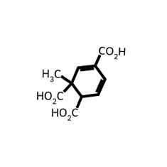 CC1(C(=O)O)C=C(C(=O)O)C=CC1C(=O)O